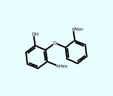 CCCCCCCCCc1ccccc1Oc1c(O)cccc1CCCCCC